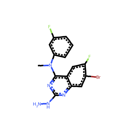 CN(c1cccc(F)c1)c1nc(NN)nc2cc(Br)c(F)cc12